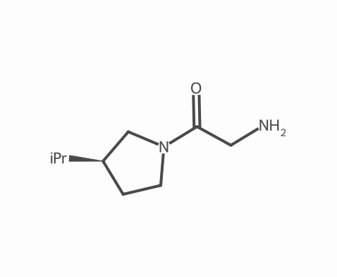 CC(C)[C@@H]1CCN(C(=O)CN)C1